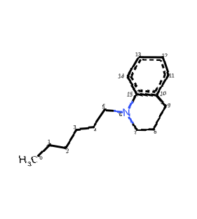 CCCCCCN1CCCc2ccccc21